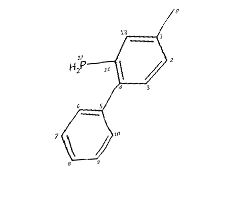 Cc1ccc(-c2ccccc2)c(P)c1